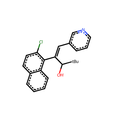 CC(C)(C)C(O)C(=Cc1cccnc1)c1c(Cl)ccc2ccccc12